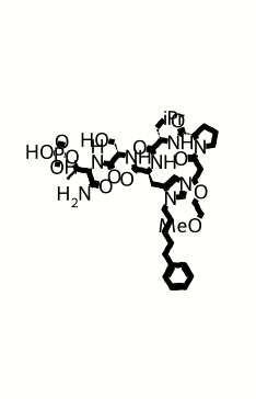 COCCOCCC(=O)N1CCC[C@H]1C(=O)N[C@@H](CC(C)C)C(=O)N[C@@H](Cc1cncn1CCCCCc1ccccc1)C(=O)N[C@@H](CO)C(=O)N[C@H](C(N)=O)[C@@H](C)OP(=O)(O)O